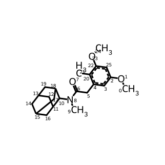 COc1cc(CC(=O)N(C)C2C3CC4CC(C3)CC2C4)c(C)c(OC)c1